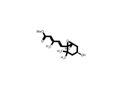 COC(=O)/C=C(C)/C=C/C12OC1(C)C[C@@H](O)CC2(C)C